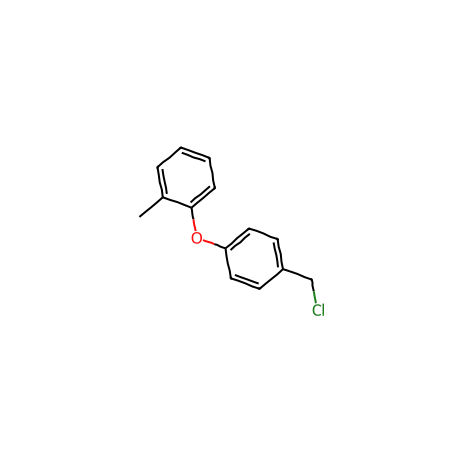 Cc1ccccc1Oc1ccc(CCl)cc1